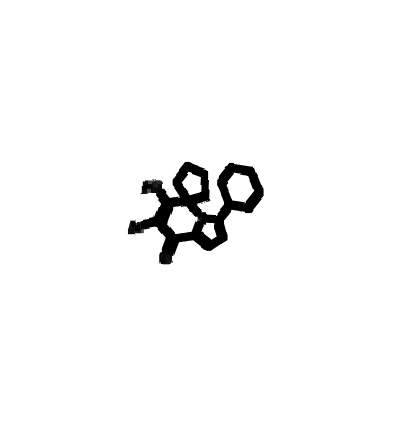 CC(=O)C1=C(O)C2(CCCC2)n2c(ccc2C2CCCCC2)C1=O